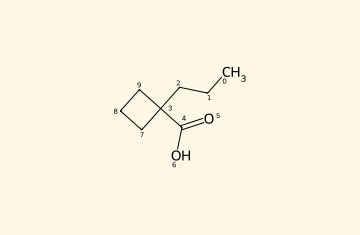 CCCC1(C(=O)O)CCC1